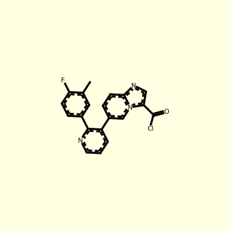 Cc1cc(-c2ncccc2-c2ccc3ncc(C(=O)Cl)n3c2)ccc1F